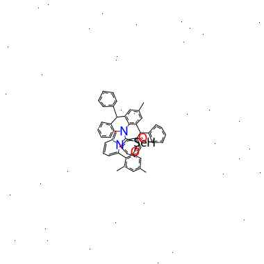 Cc1cc(C)c(C2=CC=CC3=CN(c4c(C(c5ccccc5)c5ccccc5)cc(C)cc4C(c4ccccc4)c4ccccc4)C([SeH](=O)=O)N32)c(C)c1